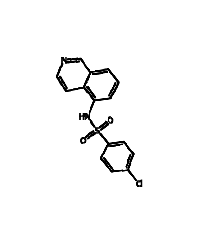 O=S(=O)(Nc1cccc2cnccc12)c1ccc(Cl)cc1